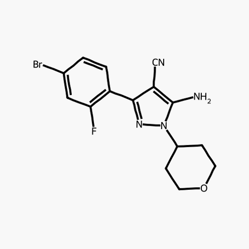 N#Cc1c(-c2ccc(Br)cc2F)nn(C2CCOCC2)c1N